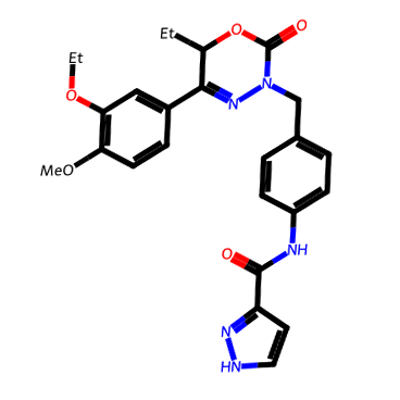 CCOc1cc(C2=NN(Cc3ccc(NC(=O)c4cc[nH]n4)cc3)C(=O)OC2CC)ccc1OC